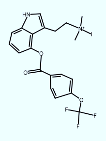 C[N+](C)(I)CCc1c[nH]c2cccc(OC(=O)c3ccc(OC(F)(F)F)cc3)c12